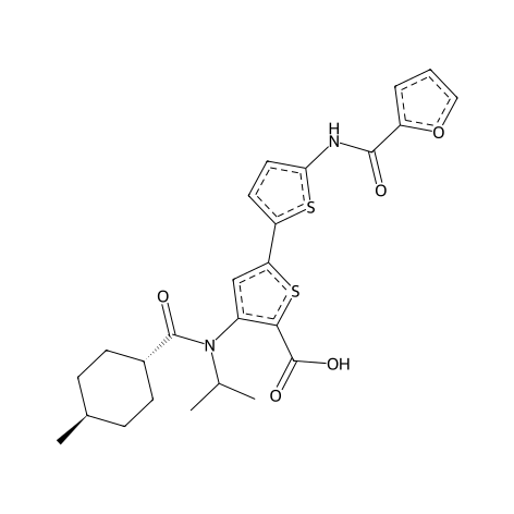 CC(C)N(c1cc(-c2ccc(NC(=O)c3ccco3)s2)sc1C(=O)O)C(=O)[C@H]1CC[C@H](C)CC1